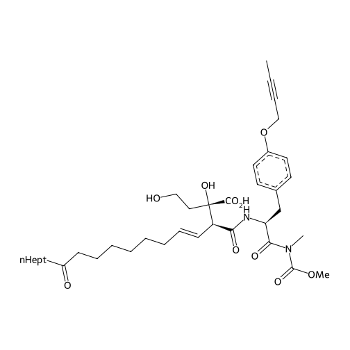 CC#CCOc1ccc(C[C@H](NC(=O)[C@@H](/C=C/CCCCCCC(=O)CCCCCCC)[C@@](O)(CCO)C(=O)O)C(=O)N(C)C(=O)OC)cc1